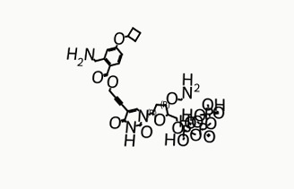 NCO[C@@H]1C[C@H](n2cc(C#CCOC(=O)c3ccc(OC4CCC4)cc3CN)c(=O)[nH]c2=O)OC1COP(=O)(O)OP(=O)(O)OP(=O)(O)O